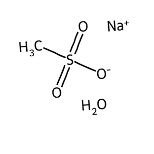 CS(=O)(=O)[O-].O.[Na+]